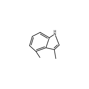 Cc1cccc2[nH]cc(C)c12